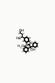 CCn1c(C(O)(c2ccccc2)c2ccccc2)nc2ccc(C(O)CCO)cc21